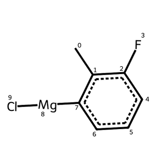 Cc1c(F)ccc[c]1[Mg][Cl]